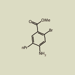 CCCc1cc(C(=O)OC)c(Br)cc1N